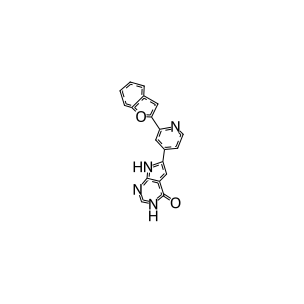 O=c1[nH]cnc2[nH]c(-c3ccnc(-c4cc5ccccc5o4)c3)cc12